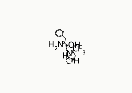 N[C@@H](Cc1ccccc1)[C@H](O)CN1[C@H](C(F)(F)F)C[C@@H]2CCC[C@@H]21